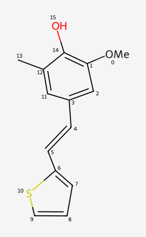 COc1cc(C=Cc2cccs2)cc(C)c1O